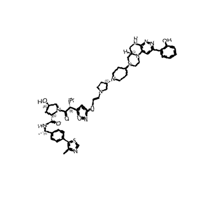 Cc1ncsc1-c1ccc([C@H](C)NC(=O)[C@@H]2C[C@@H](O)CN2C(=O)[C@@H](c2cc(OCCN3CC[C@H](N4CCC(N5CCN6c7cc(-c8ccccc8O)nnc7NC[C@H]6C5)CC4)C3)no2)C(C)C)cc1